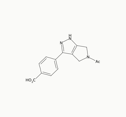 CC(=O)N1Cc2[nH]nc(-c3ccc(C(=O)O)cc3)c2C1